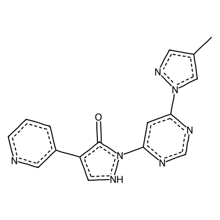 Cc1cnn(-c2cc(-n3[nH]cc(-c4cccnc4)c3=O)ncn2)c1